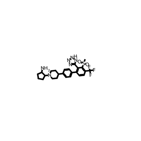 CS(=O)(=O)c1c(C(F)(F)F)ccc(-c2ccc(C3CCN(C4CCCC4N)CC3)cc2)c1-c1nnn[nH]1